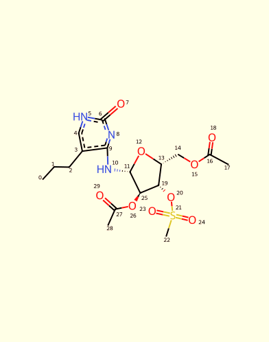 CCCc1c[nH]c(=O)nc1N[C@@H]1O[C@H](COC(C)=O)[C@H](OS(C)(=O)=O)[C@H]1OC(C)=O